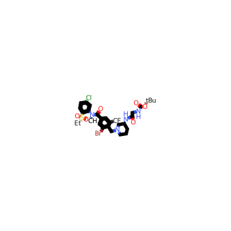 CCS(=O)(=O)c1ccc(Cl)cc1N(C)C(=O)c1cc(Br)c(CN2CCC[C@H](NC(=O)CNC(=O)OC(C)(C)C)C2)c(C(F)(F)F)c1